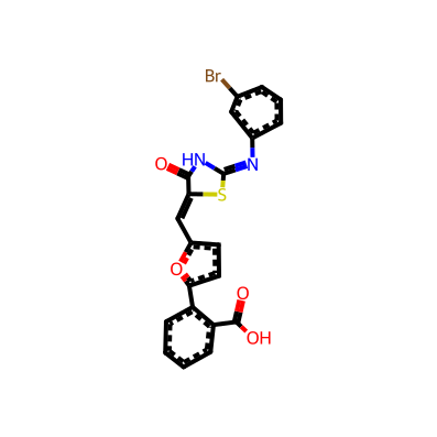 O=C1N/C(=N\c2cccc(Br)c2)S/C1=C\c1ccc(-c2ccccc2C(=O)O)o1